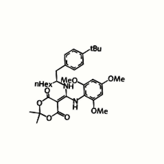 CCCCCCC(Cc1ccc(C(C)(C)C)cc1)NC(Nc1c(OC)cc(OC)cc1OC)=C1C(=O)OC(C)(C)OC1=O